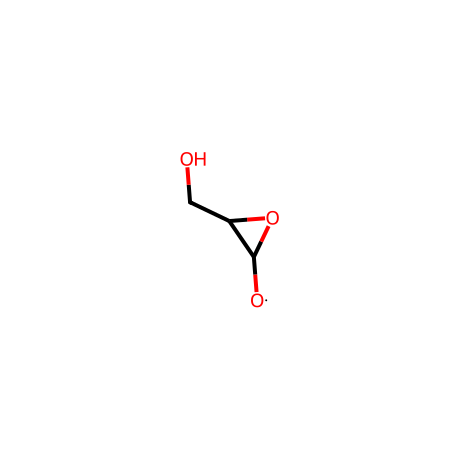 [O]C1OC1CO